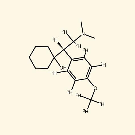 [2H]c1c([2H])c([C@]([2H])(C2(O)CCCCC2)C([2H])([2H])N(C)C)c([2H])c([2H])c1OC([2H])([2H])[2H]